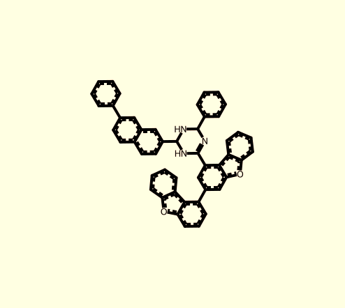 c1ccc(-c2ccc3ccc(C4NC(c5cc(-c6cccc7oc8ccccc8c67)cc6oc7ccccc7c56)=NC(c5ccccc5)N4)cc3c2)cc1